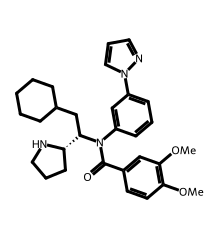 COc1ccc(C(=O)N(c2cccc(-n3cccn3)c2)C(CC2CCCCC2)[C@@H]2CCCN2)cc1OC